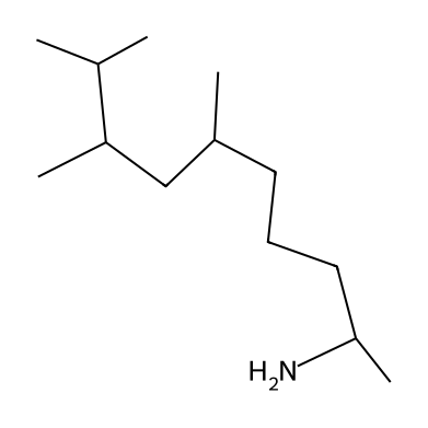 CC(N)CCCC(C)CC(C)C(C)C